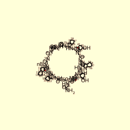 CCCC[C@H]1C(=O)N(C)CC(=O)N[C@@H](CC(=O)O)C(=O)N[C@@H](C(C)C)C(=O)N(C)[C@@H](Cc2ccccc2)C(=O)N[C@@H](Cc2ccc(O)cc2)C(=O)N(C)CC(=O)N[C@@H](Cc2c[nH]c3ccccc23)C(=O)N[C@@H](Cc2ccc(O)cc2)C(=O)N[C@@H](CC(C)C)C(=O)N[C@H](C(=O)NCC(N)=O)CSCC(=O)N[C@@H](Cc2ccccc2)C(=O)N(C)[C@@H](Cc2cccc3ccccc23)C(=O)N1C